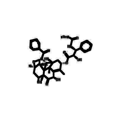 CCCCCC(=O)N[C@@H](c1ccccc1)[C@@H](O)C(=O)O[C@H]1C[C@@]2(O)[C@@H](OC(=O)c3ccccc3)C34[C@]5(OC(C)=O)CO[C@@H]5C[C@H](O)[C@@]3(C)C(=O)[C@H](O)C(=C1C)[C@]42C